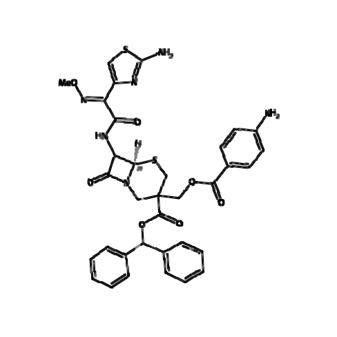 CON=C(C(=O)NC1C(=O)N2CC(COC(=O)c3ccc(N)cc3)(C(=O)OC(c3ccccc3)c3ccccc3)CS[C@H]12)c1csc(N)n1